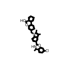 Cc1c(C)n(Cc2ccc(-c3ccccc3C(=O)O)cc2)c2ccc(C(=O)NC(C)c3ccc(Cl)cc3)cc12